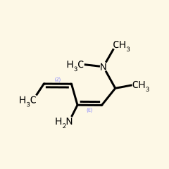 C/C=C\C(N)=C/C(C)N(C)C